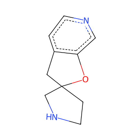 c1cc2c(cn1)OC1(CCNC1)C2